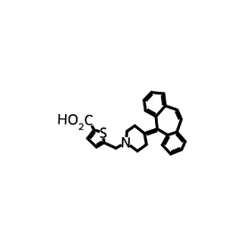 O=C(O)c1ccc(CN2CCC(=C3c4ccccc4C=Cc4ccccc43)CC2)s1